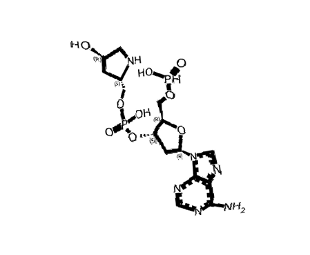 Nc1ncnc2c1ncn2[C@H]1C[C@H](OP(=O)(O)OC[C@@H]2C[C@@H](O)CN2)[C@@H](CO[PH](=O)O)O1